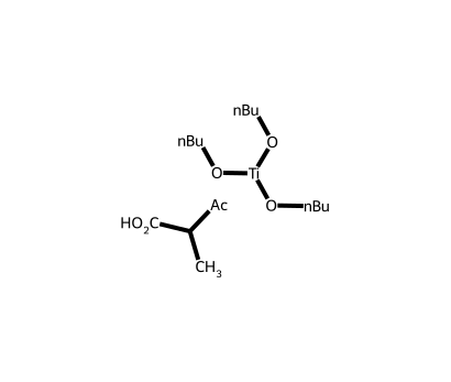 CC(=O)C(C)C(=O)O.CCCC[O][Ti]([O]CCCC)[O]CCCC